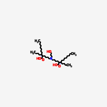 CCCCCCCC/C(CCCC)=C(\CCCCN(CCCO)CCCC/C(C(=O)O)=C(/CCCC)CCCCCCCC)C(=O)O